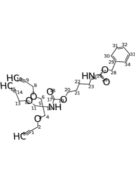 C#CCOCC(COCC#C)(COCC#C)NC(=O)OCCCCNC(=O)OCc1ccccc1